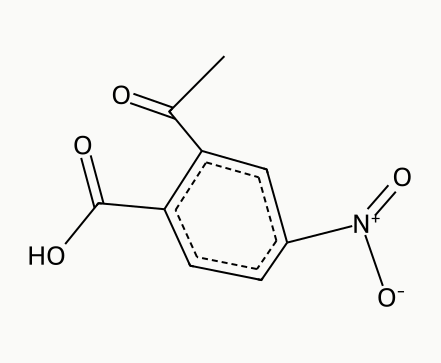 CC(=O)c1cc([N+](=O)[O-])ccc1C(=O)O